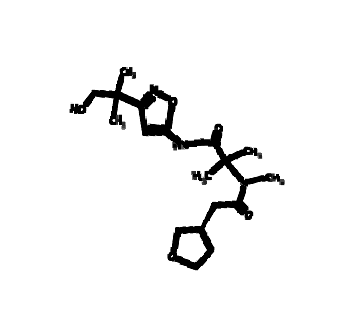 CN(C(=O)C[C@H]1CCOC1)C(C)(C)C(=O)Nc1cc(C(C)(C)CO)no1